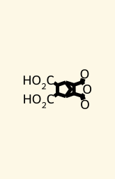 O=C(O)C1C2CC(C1C(=O)O)C1C(=O)OC(=O)C21